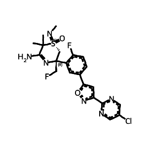 CN=[S@]1(=O)C[C@](CF)(c2cc(-c3cc(-c4ncc(Cl)cn4)no3)ccc2F)N=C(N)C1(C)C